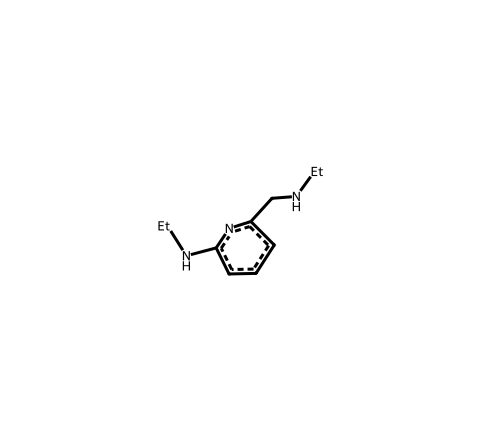 CCNCc1cccc(NCC)n1